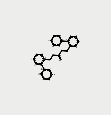 O=C(CCc1ccccc1-c1ccccc1)CCc1ccccc1-c1ccccc1